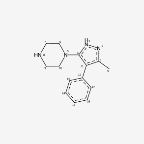 Cc1n[nH]c(N2CCNCC2)c1-c1ccccc1